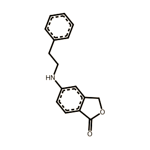 O=C1OCc2cc(NCCc3ccccc3)ccc21